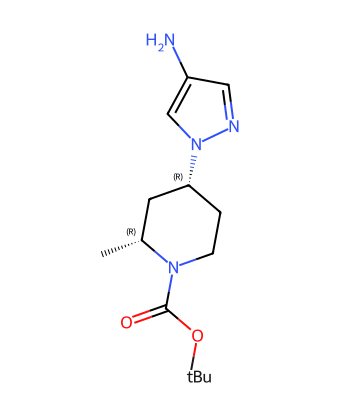 C[C@@H]1C[C@H](n2cc(N)cn2)CCN1C(=O)OC(C)(C)C